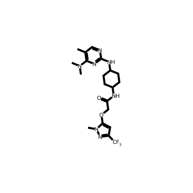 Cc1cnc(NC2CCC(NC(=O)COc3cc(C(F)(F)F)nn3C)CC2)nc1N(C)C